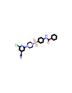 N#Cc1cc(Cl)nc(N2CCN(S(=O)(=O)c3ccc(NC(=O)c4ccccc4)cc3)CC2)c1